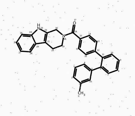 Cc1cccc(-c2ccccc2-c2ccc(C(=O)N3CCc4c([nH]c5ccccc45)C3)cc2)c1